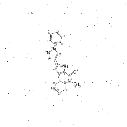 CN(C(=O)c1ncc(-c2cnn(-c3ccccc3)c2)[nH]1)C1CCNCC1